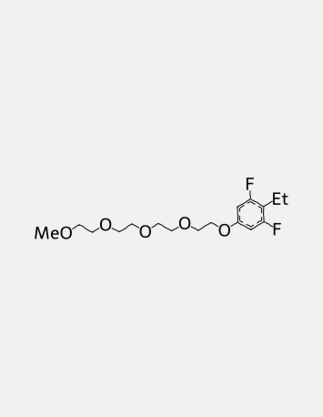 CCc1c(F)cc(OCCOCCOCCOCCOC)cc1F